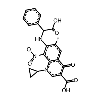 O=C(O)c1cn(C2CC2)c2c([N+](=O)[O-])c(NC(C(=O)O)c3ccccc3)c(F)cc2c1=O